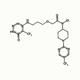 CCN(C(=O)COCCCNc1cn[nH]c(=O)c1C(F)(F)F)C1CCN(c2ncc(C(F)(F)F)cn2)CC1